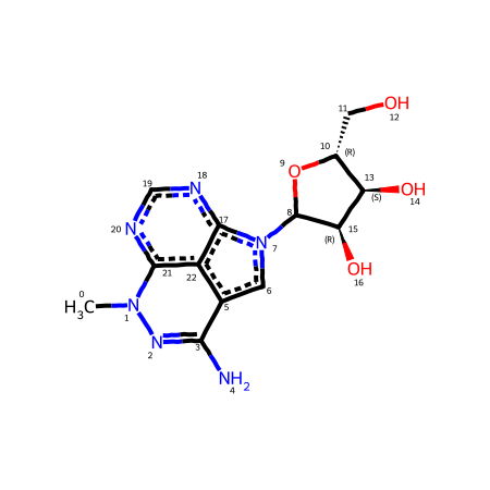 CN1N=C(N)c2cn(C3O[C@H](CO)[C@@H](O)[C@H]3O)c3ncnc1c23